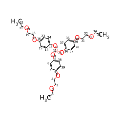 CCOCCOc1ccc(OB(Oc2ccc(OCCOCC)cc2)Oc2ccc(OCCOCC)cc2)cc1